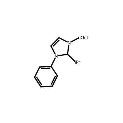 CCCCCCCCN1C=CN(c2ccccc2)C1C(C)C